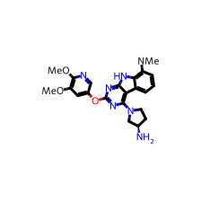 CNc1cccc2c1[nH]c1nc(Oc3cnc(OC)c(OC)c3)nc(N3CC[C@@H](N)C3)c12